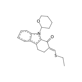 CCSC=C1CCc2c(n(C3CCCCO3)c3ccccc23)C1=O